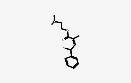 CC(=CC(Cl)c1ccccc1)C(=O)OCCN(C)C